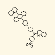 O=[N+]([O-])c1ccc(N(c2ccc(-c3ccc(-c4c5ccccc5c(-c5cccc6ccccc56)c5ccccc45)cc3)cc2)c2ccc3ccccc3n2)cc1